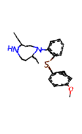 COc1ccc(Sc2ccccc2N2CC(C)NCC2C)cc1